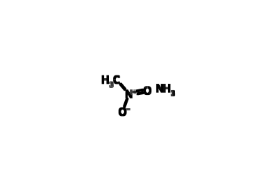 C[N+](=O)[O-].N